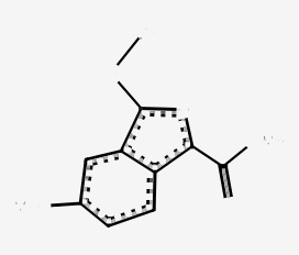 COC(=O)c1oc(OC(C)C)c2cc(OC)ccc12